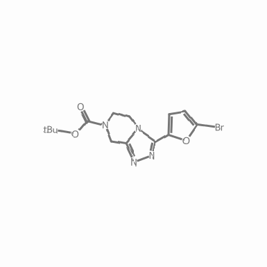 CC(C)(C)OC(=O)N1CCn2c(nnc2-c2ccc(Br)o2)C1